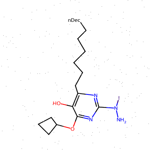 CCCCCCCCCCCCCCCCc1nc(N(N)I)nc(OC2CCC2)c1O